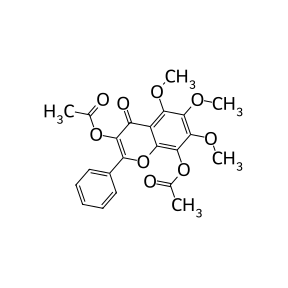 COc1c(OC)c(OC)c2c(=O)c(OC(C)=O)c(-c3ccccc3)oc2c1OC(C)=O